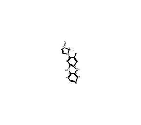 Cc1cc2c(cc1N1C=CN(C)[C@@H]1C)Oc1ccccc1O2